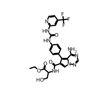 CCOC(=O)C(CO)NC(=O)c1cn2ncnc(N)c2c1-c1ccc(NC(=O)Nc2cc(C(F)(F)F)ccn2)cc1